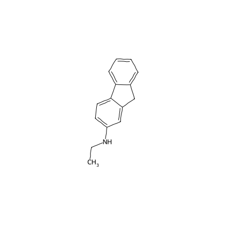 CCNc1ccc2c(c1)Cc1ccccc1-2